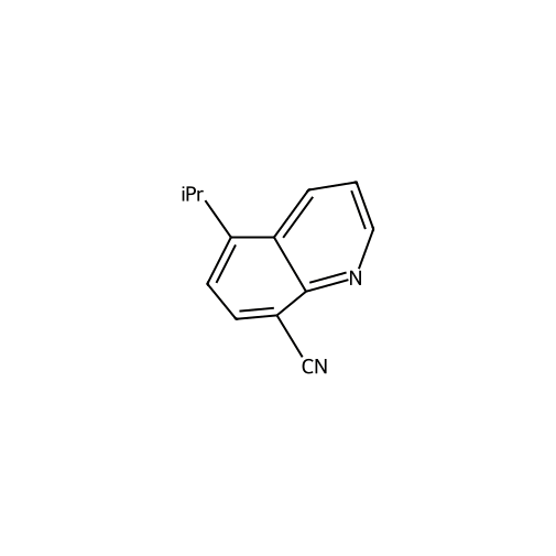 CC(C)c1ccc(C#N)c2ncccc12